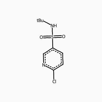 CC(C)(C)NS(=O)(=O)c1ccc(Cl)nc1